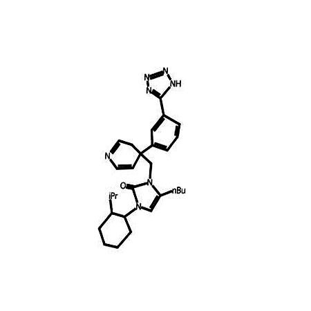 CCCCc1cn(C2CCCCC2C(C)C)c(=O)n1CC1(c2cccc(-c3nnn[nH]3)c2)C=CN=CC1